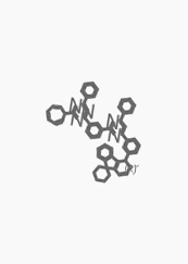 C[C@@H]1C=CC2=C(c3ccccc3C23CCCCC3)C1c1cccc(-c2cc(-c3ccccc3)nc(-c3cccc(-c4nc(-c5ccccc5)nc(C5C#CC=CC=C5)n4)c3)n2)c1